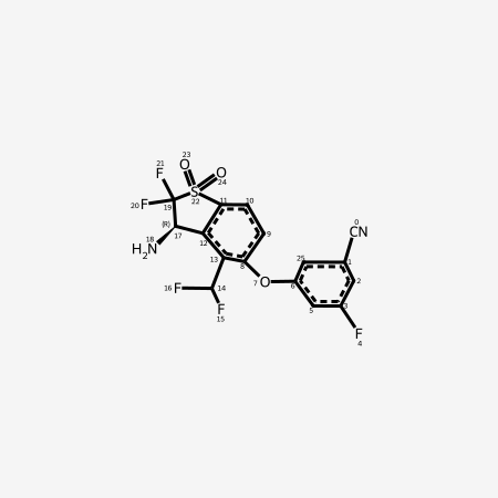 N#Cc1cc(F)cc(Oc2ccc3c(c2C(F)F)[C@@H](N)C(F)(F)S3(=O)=O)c1